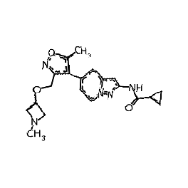 Cc1onc(COC2CN(C)C2)c1-c1ccn2nc(NC(=O)C3CC3)cc2c1